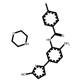 C1COCCN1.Cc1ccc(C(=O)Nc2cc(-c3ccc(C#N)s3)ccc2N)cc1